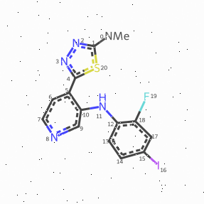 CNc1nnc(-c2ccncc2Nc2ccc(I)cc2F)s1